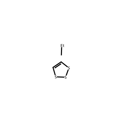 C1=CSSS1.CCC